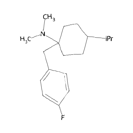 CC(C)C1CCC(Cc2ccc(F)cc2)(N(C)C)CC1